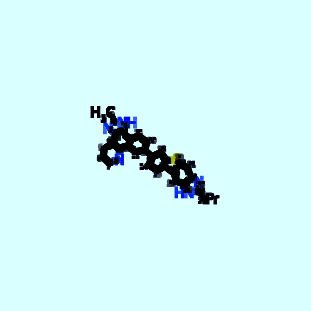 Cc1nc2c3cccnc3c3cc(-c4ccc5c(c4)sc4cc6nc(C(C)C)[nH]c6cc45)ccc3c2[nH]1